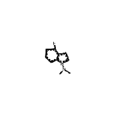 CN(C)n1ccc2c(F)cccc21